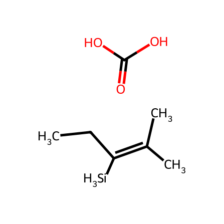 CCC([SiH3])=C(C)C.O=C(O)O